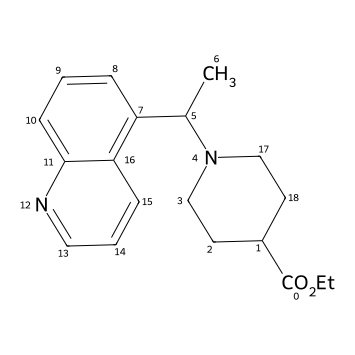 CCOC(=O)C1CCN(C(C)c2cccc3ncccc23)CC1